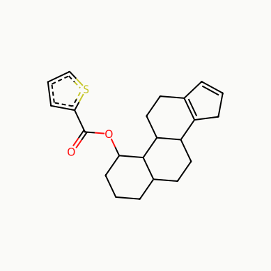 O=C(OC1CCCC2CCC3C4=C(C=CC4)CCC3C21)c1cccs1